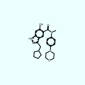 CN(C(=O)c1cc2c(CC3CCCC3)n[nH]c2cc1O)c1ccc(N2CCOCC2)cc1